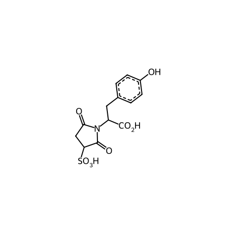 O=C(O)C(Cc1ccc(O)cc1)N1C(=O)CC(S(=O)(=O)O)C1=O